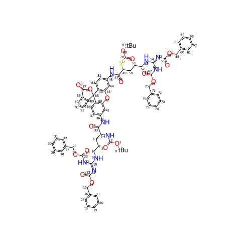 CC(C)(C)OC(=O)N[C@@H](CCCN/C(=N/C(=O)OCc1ccccc1)NC(=O)OCc1ccccc1)C(=O)Nc1ccc2c(c1)Oc1cc(NC(=O)[C@H](CCCN/C(=N/C(=O)OCc3ccccc3)NC(=O)OCc3ccccc3)SC(=O)OC(C)(C)C)ccc1C21OC(=O)c2ccccc21